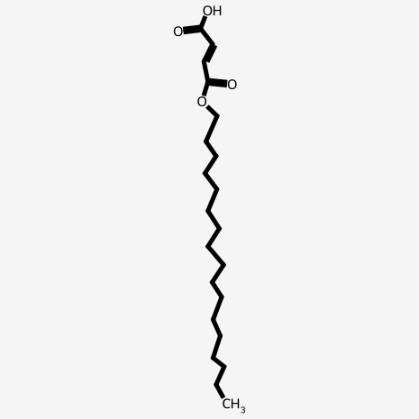 CCCCCCCCCCCCCCCCCOC(=O)C=CC(=O)O